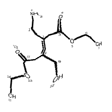 NCC(C(=O)OCO)=C(CO)C(=O)OCO